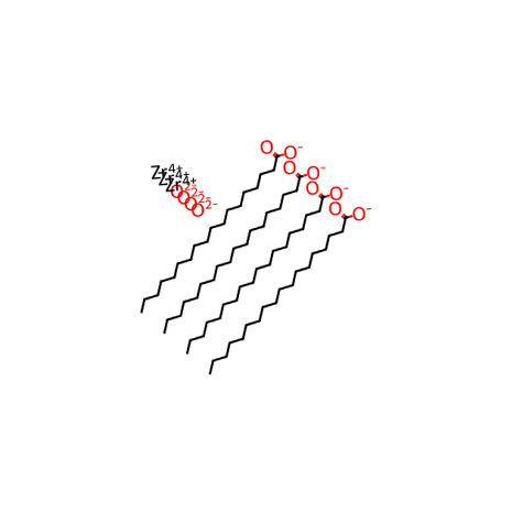 CCCCCCCCCCCCCCCCCC(=O)[O-].CCCCCCCCCCCCCCCCCC(=O)[O-].CCCCCCCCCCCCCCCCCC(=O)[O-].CCCCCCCCCCCCCCCCCC(=O)[O-].[O-2].[O-2].[O-2].[O-2].[Zr+4].[Zr+4].[Zr+4]